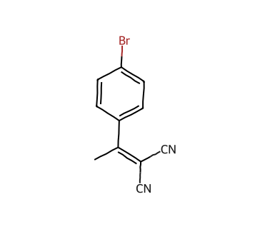 CC(=C(C#N)C#N)c1ccc(Br)cc1